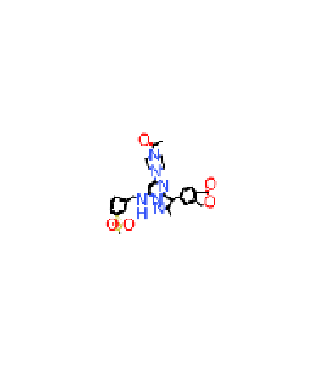 CC(=O)N1CCN(c2cc(NCc3cccc(S(C)(=O)=O)c3)n3nc(C)c(-c4ccc5c(c4)COC5=O)c3n2)CC1